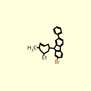 CCC1CC(C)/C=C/CC(C2c3cc(Br)ccc3-c3ccc(-c4ccccc4)cc32)C1